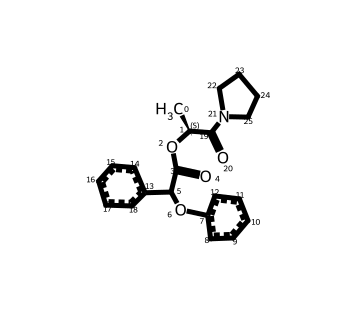 C[C@H](OC(=O)C(Oc1ccccc1)c1ccccc1)C(=O)N1CCCC1